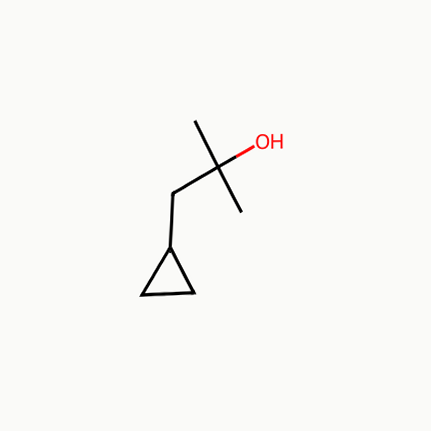 CC(C)(O)C[C]1CC1